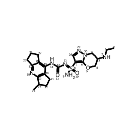 CCNC1COc2c(S(N)(=O)=NC(=O)Nc3c4c(nc5c3CCC5C)CCC4)cnn2C1